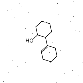 OC1CCCCC1C1=CCCCC1